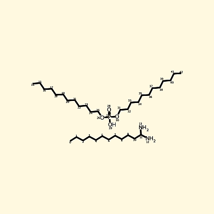 CCCCCCCCCCCC(N)N.CCCCCCCCCCCCOP(=O)(O)OCCCCCCCCCCCC